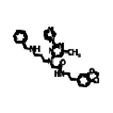 Cc1cc(N(CCCNCc2ccccc2)CC(=O)NCCc2ccc3c(c2)OCO3)nc(-n2ccnc2)n1